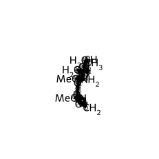 C=C1CC2C=Nc3cc(OCCCCCOc4cc(N)c(C(=O)N5CC(=C)C[C@H]5C5OCCN5C(=O)OCC(C)(C)S)cc4OC)c(OC)cc3C(=O)N2C1